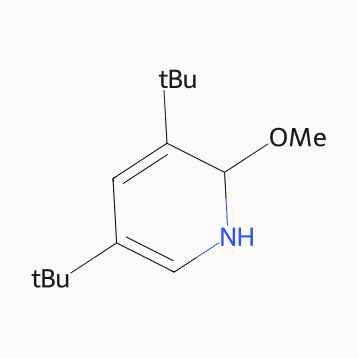 COC1NC=C(C(C)(C)C)C=C1C(C)(C)C